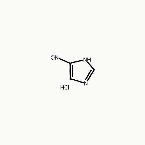 Cl.O=Nc1cnc[nH]1